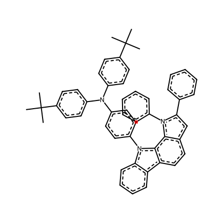 CC(C)(C)c1ccc(N(c2ccc(-n3c4ccccc4c4ccc5cc(-c6ccccc6)n(-c6ccccc6)c5c43)cc2)c2ccc(C(C)(C)C)cc2)cc1